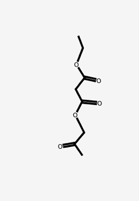 CCOC(=O)CC(=O)OCC(C)=O